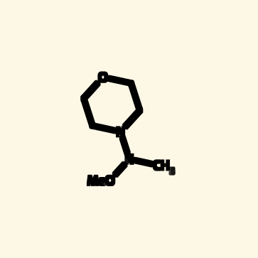 CON(C)N1CCOCC1